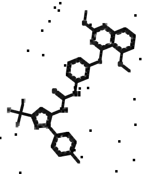 COc1nc(Sc2cccc(NC(=O)Nc3cc(C(F)(F)F)nn3-c3ccc(C)cc3)c2)c2c(OC)cccc2n1